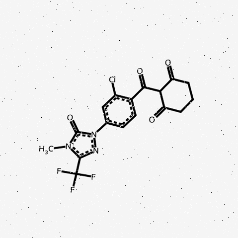 Cn1c(C(F)(F)F)nn(-c2ccc(C(=O)C3C(=O)CCCC3=O)c(Cl)c2)c1=O